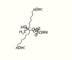 CCCCCCCCCCCCCCCCC(C)[N+](C)(O)CCCCCCCCCCCCCCCC.COS(=O)(=O)[O-]